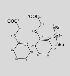 CCC[CH2][Sn+2][CH2]CCC.O=C([O-])CSC1=CCCCC1.O=C([O-])CSC1=CCCCC1